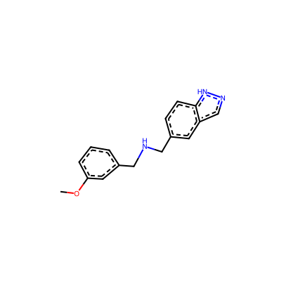 COc1cccc(CNCc2ccc3[nH]ncc3c2)c1